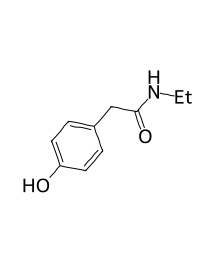 CCNC(=O)Cc1ccc(O)cc1